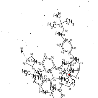 Cn1cc(Nc2nccc(C3COC(N4C5CCC4CC(O)C5)CN3C(C(N)=O)c3c(-c4ccnc(Nc5ccc(NCC(C)(C)O)nc5)n4)cnc(N4CC[C@H](F)C4)c3C#N)n2)cn1